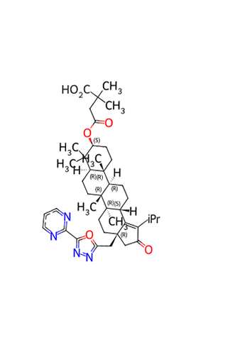 CC(C)C1=C2[C@H]3CC[C@@H]4[C@@]5(C)CC[C@H](OC(=O)CC(C)(C)C(=O)O)C(C)(C)[C@@H]5CC[C@@]4(C)[C@]3(C)CC[C@@]2(Cc2nnc(-c3ncccn3)o2)CC1=O